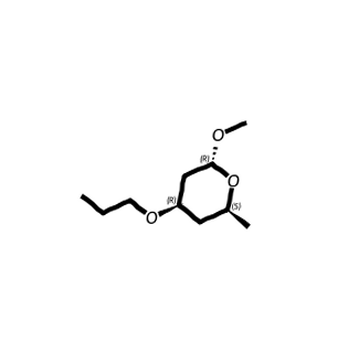 CCCO[C@H]1C[C@H](OC)O[C@@H](C)C1